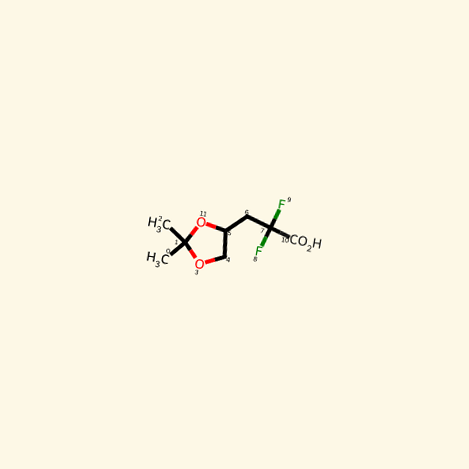 CC1(C)OCC(CC(F)(F)C(=O)O)O1